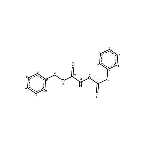 O=C(Cc1ccccc1)ONC(=O)OCc1ccccc1